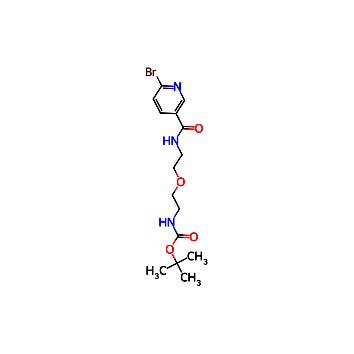 CC(C)(C)OC(=O)NCCOCCNC(=O)c1ccc(Br)nc1